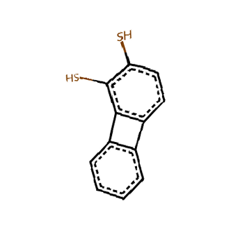 Sc1ccc2c(c1S)-c1ccccc1-2